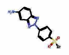 CCS(=O)(=O)c1ccc(-n2nc3ccc(N)cc3n2)cc1